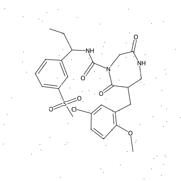 CCC(NC(=O)N1CC(=O)NCC(Cc2cc(Cl)ccc2OC)C1=O)c1cccc(S(C)(=O)=O)c1